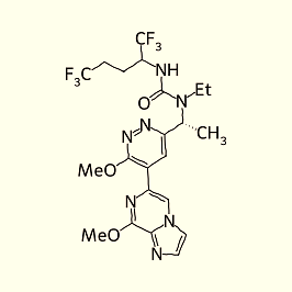 CCN(C(=O)NC(CCC(F)(F)F)C(F)(F)F)[C@H](C)c1cc(-c2cn3ccnc3c(OC)n2)c(OC)nn1